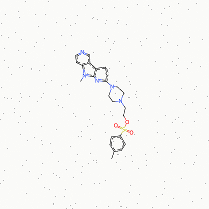 Cc1ccc(S(=O)(=O)OCCN2CCN(c3ccc4c5cnccc5n(C)c4n3)CC2)cc1